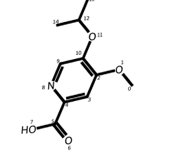 COc1cc(C(=O)O)ncc1OC(C)C